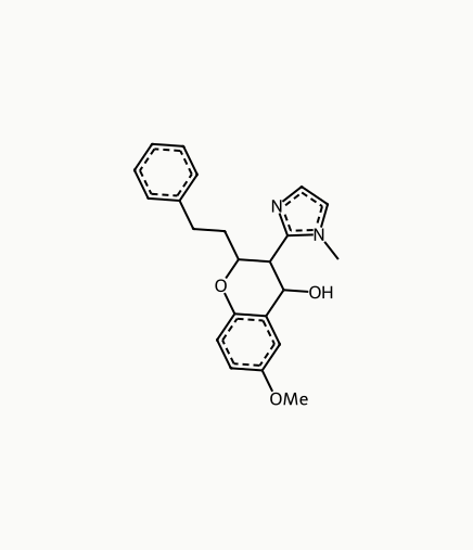 COc1ccc2c(c1)C(O)C(c1nccn1C)C(CCc1ccccc1)O2